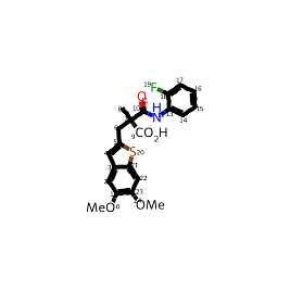 COc1cc2cc(CC(C)(C(=O)O)C(=O)Nc3ccccc3F)sc2cc1OC